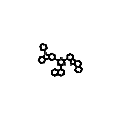 c1ccc(-n2c3ccccc3c3cc(-c4nc(-c5cccc6ccccc56)nc(-c5cccc6c5sc5c7ccccc7ccc65)n4)ccc32)cc1